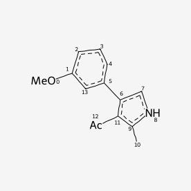 COc1cccc(-c2c[nH]c(C)c2C(C)=O)c1